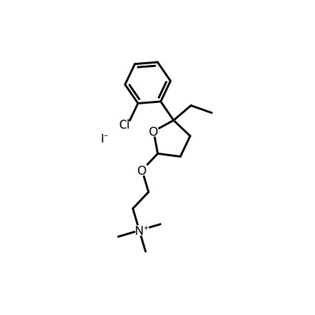 CCC1(c2ccccc2Cl)CCC(OCC[N+](C)(C)C)O1.[I-]